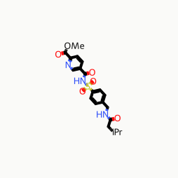 COC(=O)c1ccc(C(=O)NS(=O)(=O)c2ccc(CNC(=O)CC(C)C)cc2)cn1